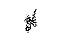 C=C(CC(=O)N[C@@H](Cc1ccccc1)C(=O)OC(C)(C)C)[N+](C)(C)CCCCCC.[Cl-]